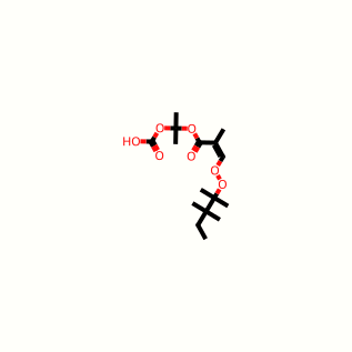 CCC(C)(C)C(C)(C)OOC=C(C)C(=O)OC(C)(C)OC(=O)O